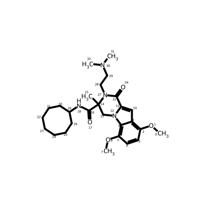 COc1ccc(OC)c2c1cc1n2CC(C)(C(=O)NC2CCCCCCC2)N(CCN(C)C)C1=O